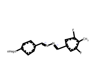 CCCCCCCc1ccc(/C=N/N=C/c2cc(F)c(C)c(F)c2)cc1